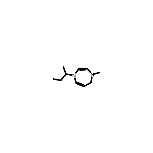 CCC(C)N1C=CCN(C)C=C1